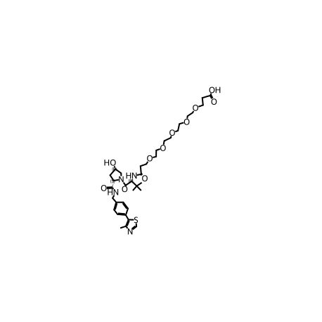 Cc1ncsc1-c1ccc(CNC(=O)[C@@H]2C[C@@H](O)CN2C(=O)[C@H](NC(=O)CCOCCOCCOCCOCCOCCC(=O)O)C(C)(C)C)cc1